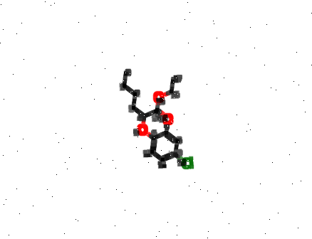 CCCCC(Oc1ccc(Cl)cc1)C(=O)OCC